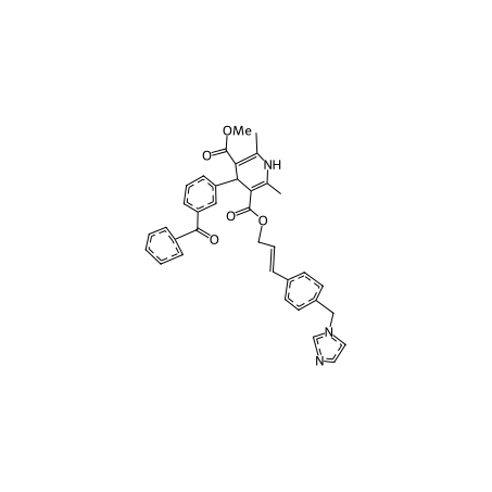 COC(=O)C1=C(C)NC(C)=C(C(=O)OCC=Cc2ccc(Cn3ccnc3)cc2)C1c1cccc(C(=O)c2ccccc2)c1